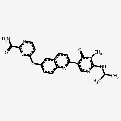 CC(C)Nc1ncc(-c2ccc3cc(Oc4ccnc(C(N)=O)n4)ccc3n2)c(=O)n1C